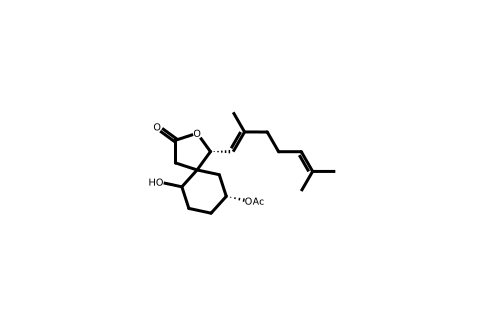 CC(=O)O[C@@H]1CCC(O)C2(CC(=O)O[C@@H]2/C=C(\C)CCC=C(C)C)C1